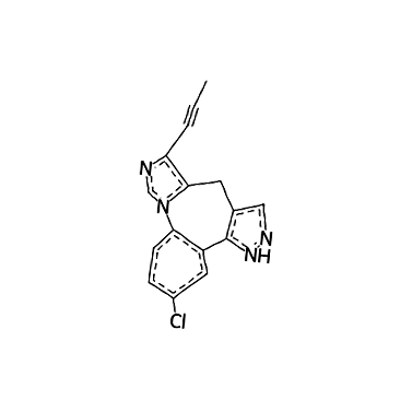 CC#Cc1ncn2c1Cc1cn[nH]c1-c1cc(Cl)ccc1-2